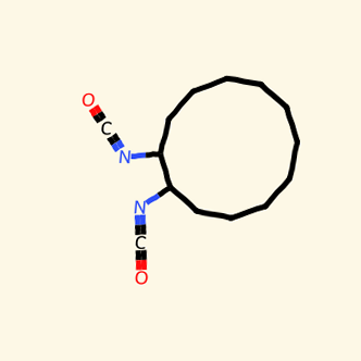 O=C=NC1CCCCCCCCCCC1N=C=O